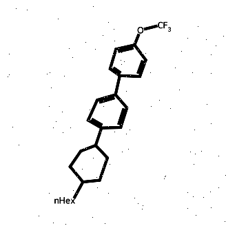 CCCCCCC1CCC(c2ccc(-c3ccc(OC(F)(F)F)cc3)cc2)CC1